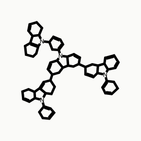 C1=CCCC(N2C3CCC(C4C=CC5C(C4)C4CC(C6C=CC7C(C6)C6C=CC=CC6N7C6=CC=CCC6)C=CC4N5C4=CC=CC(N5C6=C(CCCC6)C6C=CCCC65)C4)C=C3C3CCC=CC32)=C1